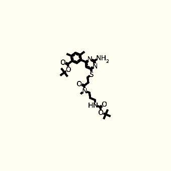 Cc1cc(C)c(-c2cc(SCCC(=O)N(C)CCCNC(=O)OC(C)(C)C)nc(N)n2)cc1C(=O)OC(C)(C)C